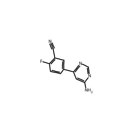 N#Cc1cc(-c2cc(N)ncn2)ccc1F